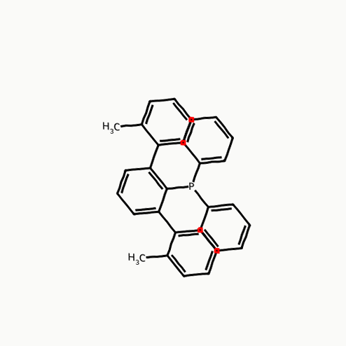 Cc1ccccc1-c1cccc(-c2ccccc2C)c1P(c1ccccc1)c1ccccc1